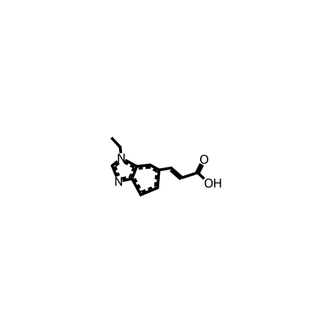 CCn1cnc2ccc(C=CC(=O)O)cc21